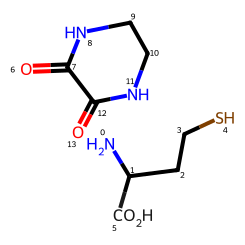 NC(CCS)C(=O)O.O=C1NCCNC1=O